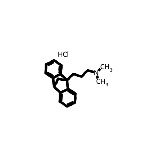 CN(C)CCCC12CC(c3ccccc31)c1ccccc12.Cl